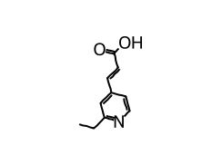 CCc1cc(/C=C/C(=O)O)ccn1